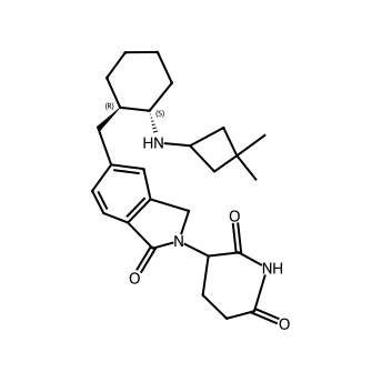 CC1(C)CC(N[C@H]2CCCC[C@@H]2Cc2ccc3c(c2)CN(C2CCC(=O)NC2=O)C3=O)C1